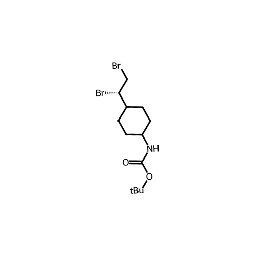 CC(C)(C)OC(=O)NC1CCC([C@H](Br)CBr)CC1